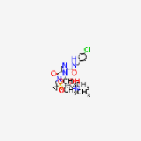 CN(C)C[C@@H](O)C(C)(C)S(=O)(=O)C1(CN2CCn3c(cnc3C(=O)NCc3ccc(Cl)cc3)C2=O)CC1